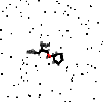 CCCCCCCCCC(=COc1ccccc1)C(=O)O